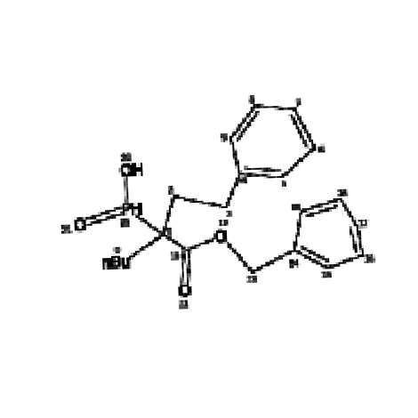 CCCCC(CCc1ccccc1)(C(=O)OCc1ccccc1)[PH](=O)O